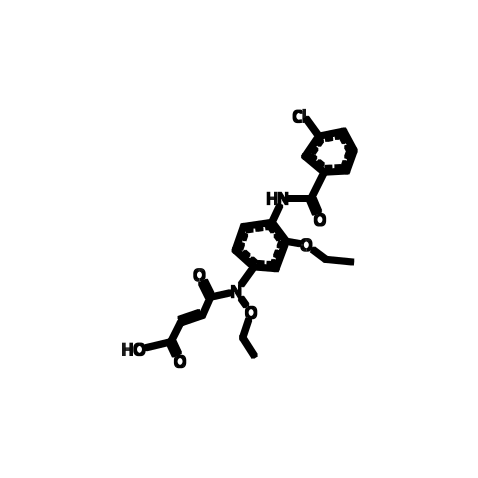 CCOc1cc(N(OCC)C(=O)C=CC(=O)O)ccc1NC(=O)c1cccc(Cl)c1